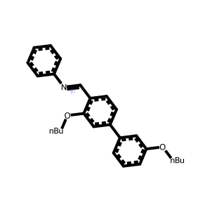 CCCCOc1cccc(-c2ccc(/C=N/c3ccccc3)c(OCCCC)c2)c1